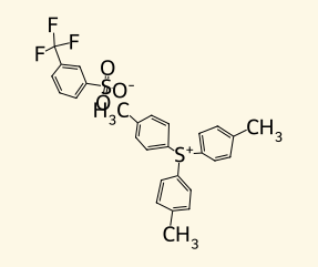 Cc1ccc([S+](c2ccc(C)cc2)c2ccc(C)cc2)cc1.O=S(=O)([O-])c1cccc(C(F)(F)F)c1